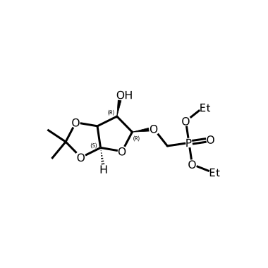 CCOP(=O)(CO[C@H]1O[C@H]2OC(C)(C)OC2[C@H]1O)OCC